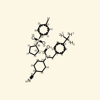 [2H]C([2H])([2H])c1ccc(CN(C(=O)[C@@H]2CCC[C@H]2S(=O)(=O)c2ccc(C)cc2)C2CCC(C#N)CC2)cc1